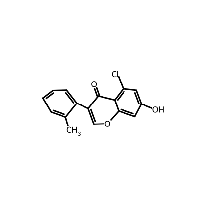 Cc1ccccc1-c1coc2cc(O)cc(Cl)c2c1=O